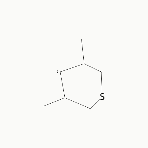 CC1[C]C(C)CSC1